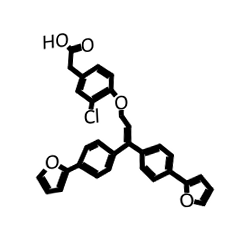 O=C(O)Cc1ccc(OCC=C(c2ccc(-c3ccco3)cc2)c2ccc(-c3ccco3)cc2)c(Cl)c1